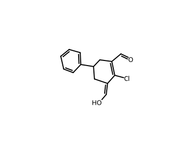 O=CC1=C(Cl)C(=CO)CC(c2ccccc2)C1